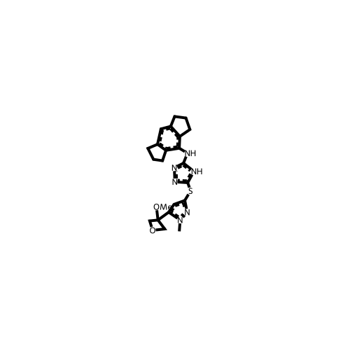 COC1(c2cc(Sc3nnc(Nc4c5c(cc6c4CCC6)CCC5)[nH]3)nn2C)COC1